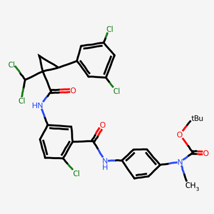 CN(C(=O)OC(C)(C)C)c1ccc(NC(=O)c2cc(NC(=O)C3(C(Cl)Cl)CC3c3cc(Cl)cc(Cl)c3)ccc2Cl)cc1